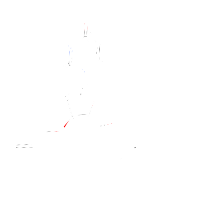 C=CCO[C@@H]1C(CO[Si](C)(C)C(C)(C)C)O[C@@H](n2ccc(=O)[nH]c2=O)[C@]1(C)F